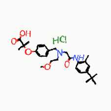 COCCN(CC(=O)Nc1ccc(C(C)(C)C)cc1C)Cc1ccc(OC(C)(C)C(=O)O)cc1.Cl